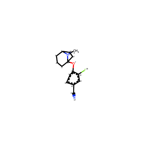 CN1C2CCCC1(Oc1ccc(C#N)cc1F)CC2